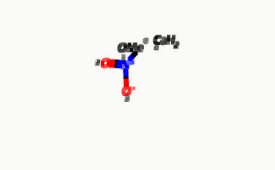 CO[N+](=O)[O-].[CaH2]